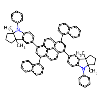 CC12CCCC1(C)N(c1ccccc1)c1ccc(-c3cc(-c4cccc5ccccc45)c4ccc5c(-c6ccc7c(c6)C6(C)CCCC6(C)N7c6ccccc6)cc(-c6cccc7ccccc67)c6ccc3c4c56)cc12